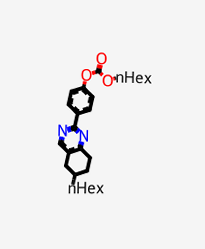 CCCCCCOC(=O)Oc1ccc(-c2ncc3c(n2)CCC(CCCCCC)C3)cc1